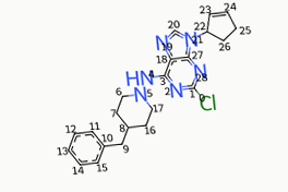 Clc1nc(NN2CCC(Cc3ccccc3)CC2)c2ncn(C3C=CCC3)c2n1